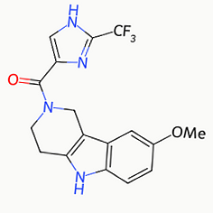 COc1ccc2[nH]c3c(c2c1)CN(C(=O)c1c[nH]c(C(F)(F)F)n1)CC3